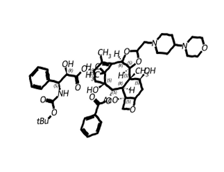 CC(=O)O[C@@]12COC1C[C@H](O)[C@@]1(C)[C@@H]3OC(CN4CCC(N5CCOCC5)CC4)O[C@@H]3C3=C(C)[C@@H](OC(=O)[C@H](O)[C@@H](NC(=O)OC(C)(C)C)c4ccccc4)C[C@@](O)([C@@H](OC(=O)c4ccccc4)[C@@H]12)C3(C)C